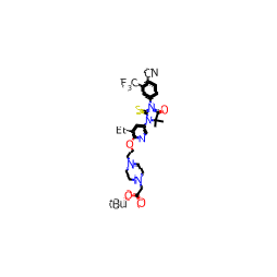 CCc1cc(N2C(=S)N(c3ccc(C#N)c(C(F)(F)F)c3)C(=O)C2(C)C)cnc1OCCN1CCN(CC(=O)OC(C)(C)C)CC1